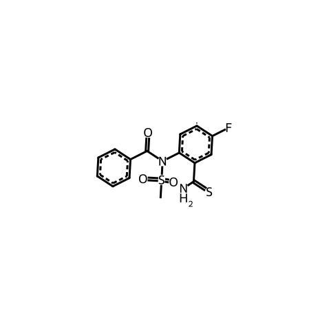 CS(=O)(=O)N(C(=O)c1ccccc1)c1c[c]c(F)cc1C(N)=S